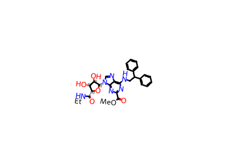 CCNC(=O)[C@H]1O[C@@H](n2cnc3c(NCC(c4ccccc4)c4ccccc4)nc(C(=O)OC)nc32)[C@H](O)[C@H]1O